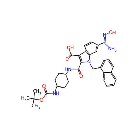 CC(C)(C)OC(=O)NC1CCC(NC(=O)c2c(C(=O)O)c3ccc(C(N)=NO)cc3n2Cc2cccc3ccccc23)CC1